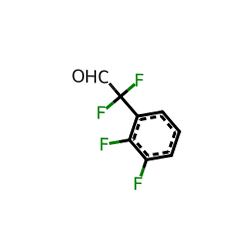 O=CC(F)(F)c1cccc(F)c1F